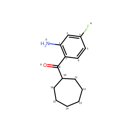 Nc1cc(F)ccc1C(=O)C1CCCCCC1